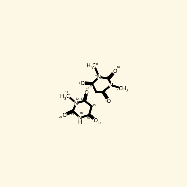 CN1C(=O)CC(=O)N(C)C1=O.CN1C(=O)CC(=O)NC1=O